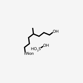 CCCCCCCCCCCCC(C)CCCO.O=S(=O)(O)O